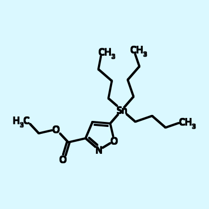 CCC[CH2][Sn]([CH2]CCC)([CH2]CCC)[c]1cc(C(=O)OCC)no1